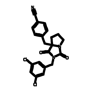 N#Cc1ccc(CC23CCCN2C(=O)N(Cc2cc(Cl)cc(Cl)c2)C3=O)cc1